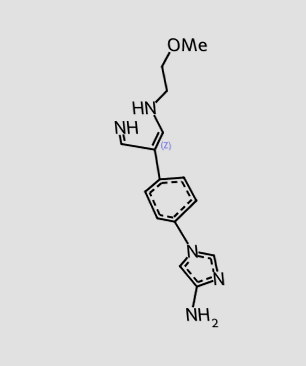 COCCN/C=C(\C=N)c1ccc(-n2cnc(N)c2)cc1